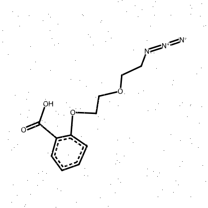 [N-]=[N+]=NCCOCCOc1ccccc1C(=O)O